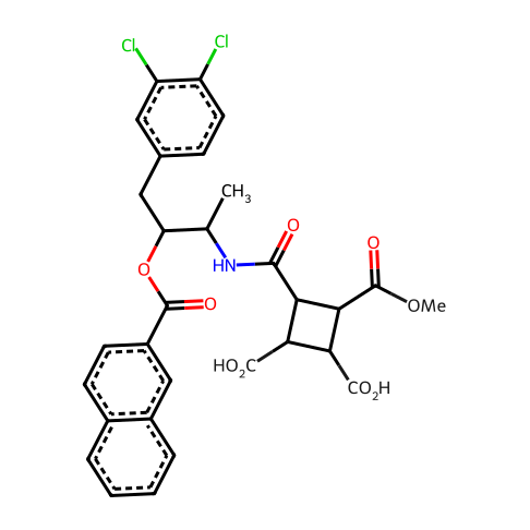 COC(=O)C1C(C(=O)O)C(C(=O)O)C1C(=O)NC(C)C(Cc1ccc(Cl)c(Cl)c1)OC(=O)c1ccc2ccccc2c1